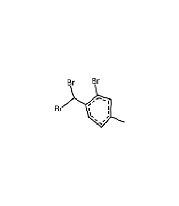 Cc1ccc(C(Br)Br)c(Br)c1